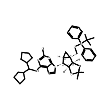 CC1(C)O[C@H]2[C@H](n3cnc4c(NC(C5CCCC5)C5CCCC5)nc(Cl)nc43)[C@H]3C[C@@]3(CO[Si](c3ccccc3)(c3ccccc3)C(C)(C)C)[C@H]2O1